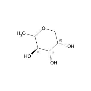 CC1OC[C@H](O)[C@H](O)[C@H]1O